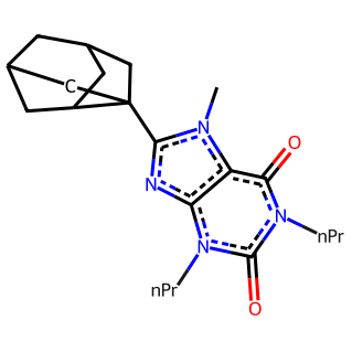 CCCn1c(=O)c2c(nc(C34CC5CC(CC3C5)C4)n2C)n(CCC)c1=O